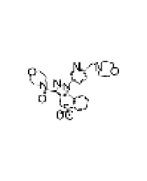 O=C(c1nn(-c2ccc(CN3CCOCC3)nc2)c2c1CS(=O)(=O)c1ccccc1-2)N1CCOCC1